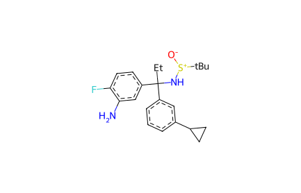 CCC(N[S+]([O-])C(C)(C)C)(c1cccc(C2CC2)c1)c1ccc(F)c(N)c1